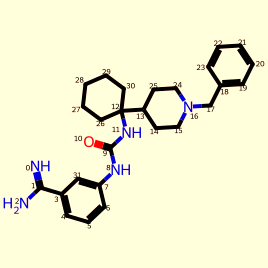 N=C(N)c1cccc(NC(=O)NC2(C3CCN(Cc4ccccc4)CC3)CCCCC2)c1